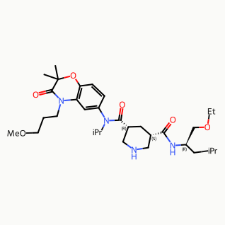 CCOC[C@@H](CC(C)C)NC(=O)[C@@H]1CNC[C@H](C(=O)N(c2ccc3c(c2)N(CCCOC)C(=O)C(C)(C)O3)C(C)C)C1